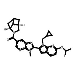 Cn1c(-c2cc3ccc(OC(F)F)nc3n2CC2CC2)nc2cc(C(=O)N3C[C@H]4CC5C[C@@H]3[C@H]54)cnc21